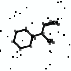 C=CC(C)N1CC[CH]CC1